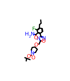 CCCc1ccc(-c2noc(COC3CCN(C(=O)OC(C)(C)C)CC3)n2)c(C(N)=O)c1F